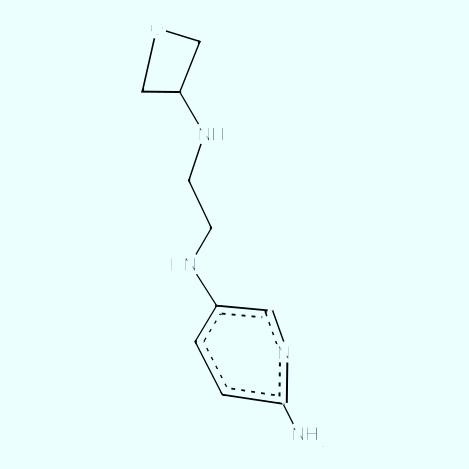 Nc1ccc(NCCNC2COC2)cn1